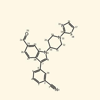 N#Cc1cccc(-c2cn(C3CCN(c4nccs4)CC3)c3cc(C=O)ccc23)c1